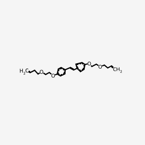 C=CCCOCCOc1ccc(/C=C/c2ccc(OCCOCCC=C)cc2)cc1